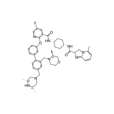 CC1=CC=CC2=NC(C(=O)N[C@H]3CC[C@@H](NC(=O)c4cc(F)cnc4Oc4cccc(-c5ccc(CN6C[C@@H](C)N[C@@H](C)C6)cc5CN5CCOC[C@@H]5C)c4)CC3)CN12